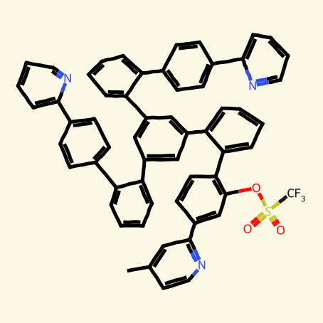 Cc1ccnc(-c2ccc(-c3ccccc3-c3cc(-c4ccccc4-c4ccc(-c5ccccn5)cc4)cc(-c4ccccc4-c4ccc(-c5ccccn5)cc4)c3)c(OS(=O)(=O)C(F)(F)F)c2)c1